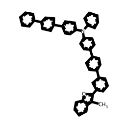 Cc1c(-c2cccc(-c3ccc(-c4ccc(N(c5ccccc5)c5ccc(-c6ccc(-c7ccccc7)cc6)cc5)cc4)cc3)c2)oc2ccccc12